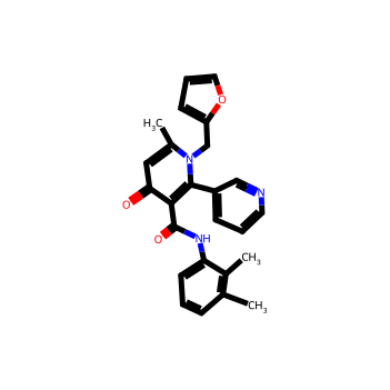 Cc1cccc(NC(=O)c2c(-c3cccnc3)n(Cc3ccco3)c(C)cc2=O)c1C